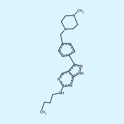 CCCCNc1ncc2c(-c3ccc(CN4CCN(C)CC4)cc3)n[nH]c2n1